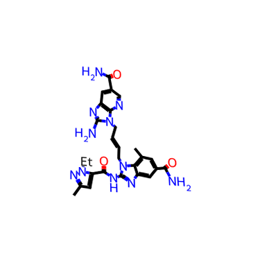 CCn1nc(C)cc1C(=O)Nc1nc2cc(C(N)=O)cc(C)c2n1C/C=C/Cn1c(N)nc2cc(C(N)=O)cnc21